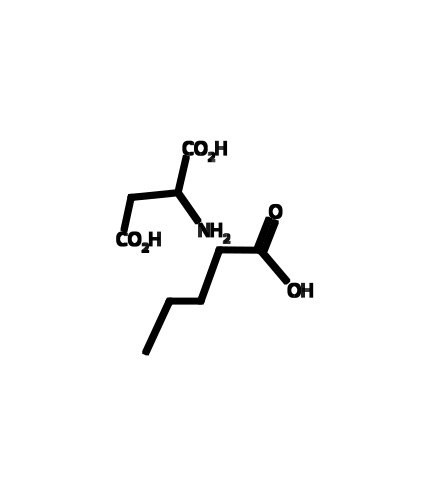 CCCCC(=O)O.NC(CC(=O)O)C(=O)O